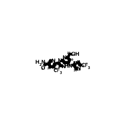 NC(=O)c1cnc(-c2cnc3c(Nc4cnc(C(F)(F)F)cn4)cc(CO)nc3n2)c(C(F)(F)F)c1